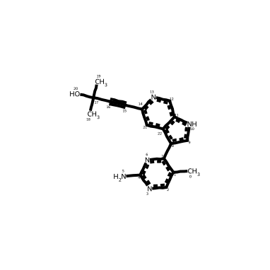 Cc1cnc(N)nc1-c1c[nH]c2cnc(C#CC(C)(C)O)cc12